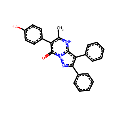 Cc1[nH]c2c(-c3ccccc3)c(-c3ccccc3)nn2c(=O)c1-c1ccc(O)cc1